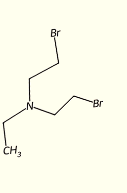 CCN(CCBr)CCBr